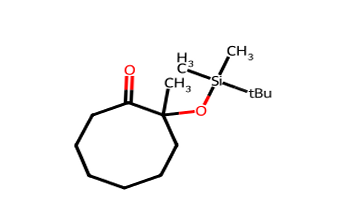 CC1(O[Si](C)(C)C(C)(C)C)CCCCCCC1=O